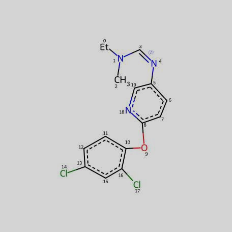 CCN(C)/C=N\c1ccc(Oc2ccc(Cl)cc2Cl)nc1